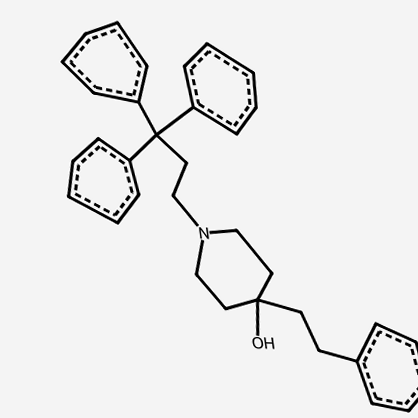 OC1(CCc2ccccc2)CCN(CCC(c2ccccc2)(c2ccccc2)c2ccccc2)CC1